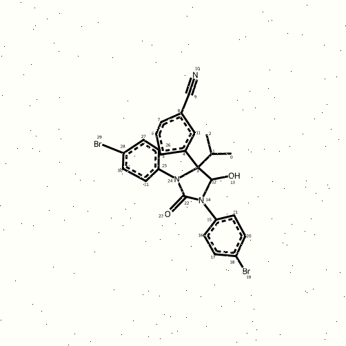 CC(C)C1(c2cccc(C#N)c2)C(O)N(c2ccc(Br)cc2)C(=O)N1c1ccc(Br)cc1